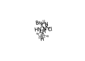 C[C@H]1[C@H]2CC[C@@H](Nc3nc(Cl)ncc3Br)[C@@H]12